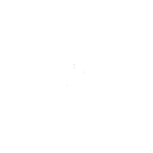 CC(N=C=O)c1ccccc1C(C)N=C=O